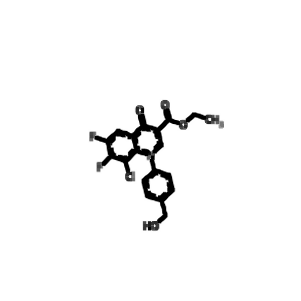 CCOC(=O)c1cn(-c2ccc(CO)cc2)c2c(Cl)c(F)c(F)cc2c1=O